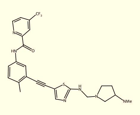 CNC1CCN(CNc2ncc(C#Cc3cc(NC(=O)c4cc(C(F)(F)F)ccn4)ccc3C)s2)C1